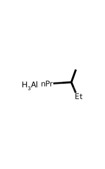 [AlH3].[CH2]CCC(C)CC